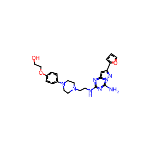 Nc1nc(NCCN2CCN(c3ccc(OCCO)cc3)CC2)nc2cc(-c3ccco3)nn12